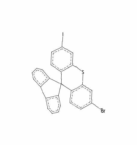 Brc1ccc2c(c1)Sc1cc(I)ccc1C21c2ccccc2-c2ccccc21